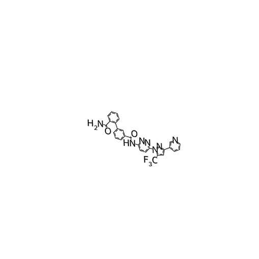 NC(=O)c1ccccc1-c1cccc(C(=O)Nc2ccc(-n3nc(-c4cccnc4)cc3C(F)(F)F)nn2)c1